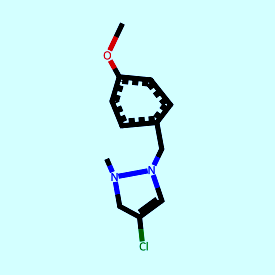 COc1ccc(CN2C=C(Cl)CN2C)cc1